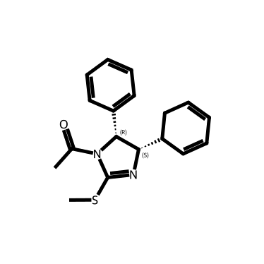 CSC1=N[C@@H](C2C=CC=CC2)[C@@H](c2ccccc2)N1C(C)=O